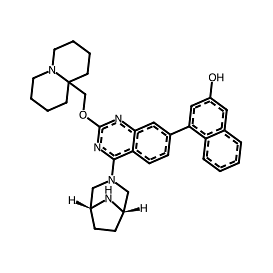 Oc1cc(-c2ccc3c(N4C[C@H]5CC[C@@H](C4)N5)nc(OCC45CCCCN4CCCC5)nc3c2)c2ccccc2c1